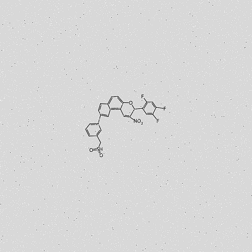 O=[N+]([O-])C1=Cc2c(ccc3ccc(-c4cccc(C[SH](=O)=O)c4)cc23)OC1c1cc(F)c(F)cc1F